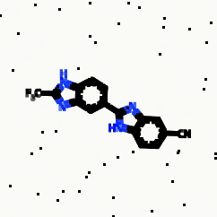 N#Cc1ccc2[nH]c(-c3ccc4[nH]c(C(F)(F)F)nc4c3)nc2c1